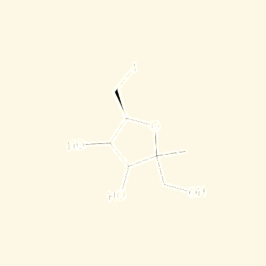 CC1(CO)O[C@H](CI)C(O)C1O